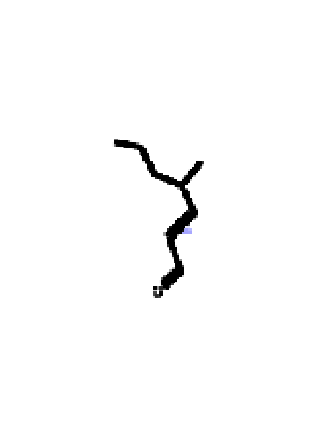 CCCC(C)/C=C/C=O